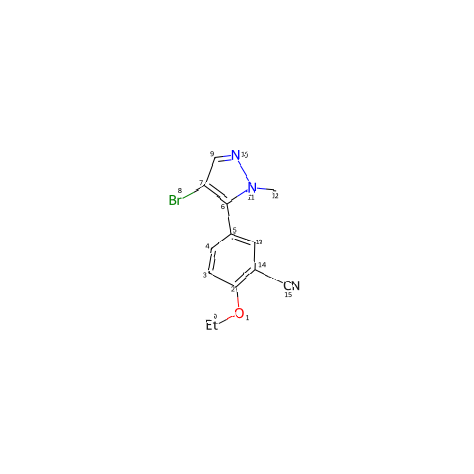 CCOc1ccc(-c2c(Br)cnn2C)cc1C#N